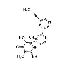 CC#Cc1cncc(-c2cc([C@@]3(C)NC(=N)N(C)C(=O)C3O)ccn2)c1